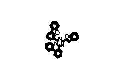 c1ccc(-c2ccccc2-c2nc(-c3cc4ccccc4o3)nc(-c3cccc4c3oc3ccccc34)n2)cc1